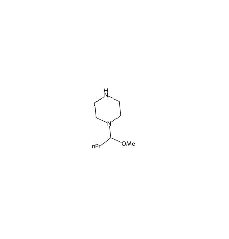 CCCC(OC)N1CCNCC1